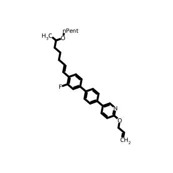 C=CCOc1ccc(-c2ccc(-c3ccc(/C=C/CCCC(C)OCCCCC)c(F)c3)cc2)cn1